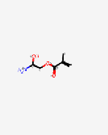 C=C(C)C(=O)OCC(N)O